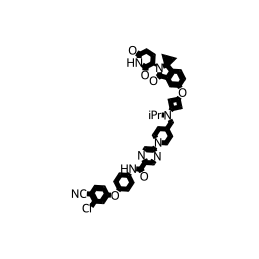 CC(C)N(CC1CCN(c2cnc(C(=O)NC3CCC(Oc4ccc(C#N)c(Cl)c4)CC3)cn2)CC1)C1CC(Oc2ccc3c(c2)C(=O)N([C@@H]2CCC(=O)NC2=O)C32CC2)C1